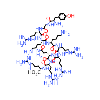 N=C(N)NCCC[C@H](NC(=O)[C@H](CCCNC(=N)N)NC(=O)[C@H](CCC(N)=O)NC(=O)[C@H](CCCNC(=N)N)NC(=O)[C@H](CCCNC(=N)N)NC(=O)[C@H](CCCCN)NC(=O)[C@H](CCCCN)NC(=O)[C@H](CCCNC(=N)N)NC(=O)CNC(=O)[C@@H](N)Cc1ccc(O)cc1)C(=O)O